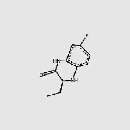 CC[C@@H]1Nc2ccc(F)cc2NC1=O